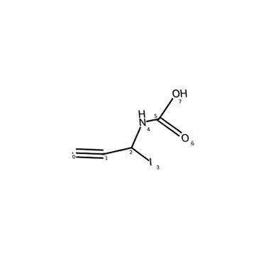 [C]#CC(I)NC(=O)O